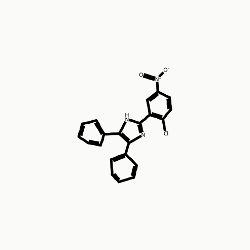 O=[N+]([O-])c1ccc(Cl)c(-c2nc(-c3ccccc3)c(-c3ccccc3)[nH]2)c1